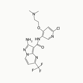 CN(C)CCOc1cc(Cl)ncc1NC(=O)c1c(N)nn2ccc(C(F)(F)F)nc12